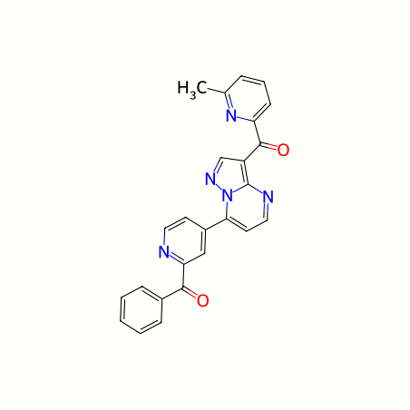 Cc1cccc(C(=O)c2cnn3c(-c4ccnc(C(=O)c5ccccc5)c4)ccnc23)n1